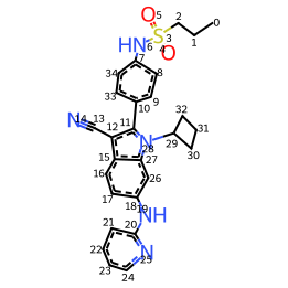 CCCS(=O)(=O)Nc1ccc(-c2c(C#N)c3ccc(Nc4ccccn4)cc3n2C2CCC2)cc1